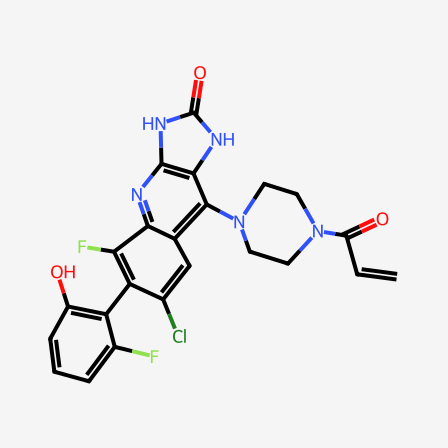 C=CC(=O)N1CCN(c2c3cc(Cl)c(-c4c(O)cccc4F)c(F)c3nc3[nH]c(=O)[nH]c23)CC1